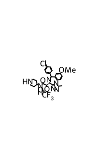 COc1ccc2c(c1)C(c1ccc(Cl)cc1)=N[C@H](C(OC(=O)C(F)(F)F)C(=O)NC1CCNCC1)c1nnc(C)n1-2